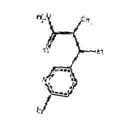 CCC(c1ccc(Br)nc1)C(C)C(N)=O